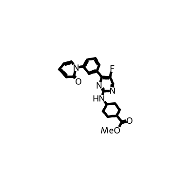 COC(=O)C1CCC(Nc2ncc(F)c(-c3cccc(-n4ccccc4=O)c3)n2)CC1